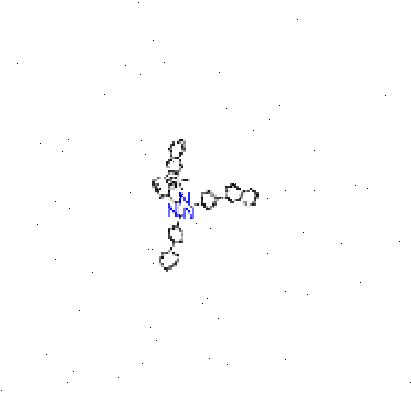 C[Si]1(C)c2cc3ccccc3cc2-c2cccc(-c3nc(-c4ccc(-c5ccccc5)cc4)nc(-c4ccc(-c5ccc6ccccc6c5)cc4)n3)c21